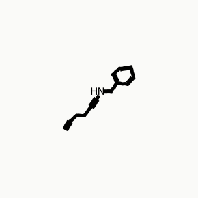 C#CCCC#CNCc1ccccc1